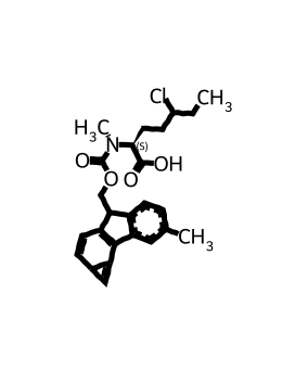 CCC(Cl)CC[C@@H](C(=O)O)N(C)C(=O)OCC1C2=C(C3=CC3C=C2)c2cc(C)ccc21